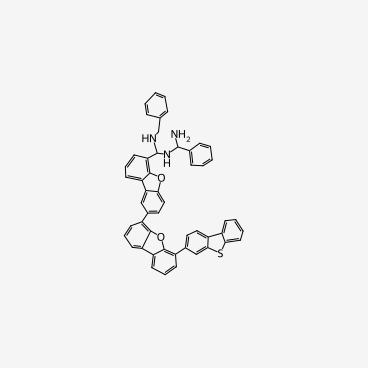 NC(NC(NCc1ccccc1)c1cccc2c1oc1ccc(-c3cccc4c3oc3c(-c5ccc6c(c5)sc5ccccc56)cccc34)cc12)c1ccccc1